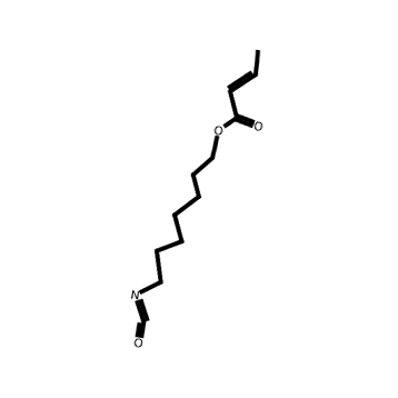 CC=CC(=O)OCCCCCCCN=C=O